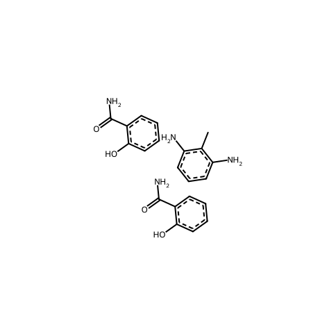 Cc1c(N)cccc1N.NC(=O)c1ccccc1O.NC(=O)c1ccccc1O